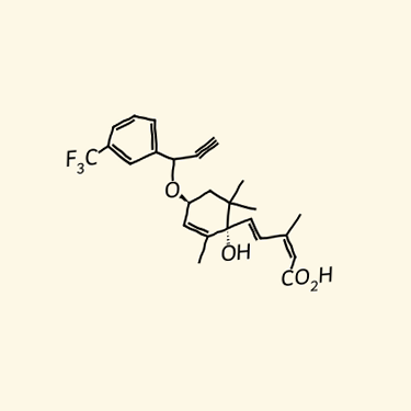 C#CC(O[C@@H]1C=C(C)[C@](O)(/C=C/C(C)=C\C(=O)O)C(C)(C)C1)c1cccc(C(F)(F)F)c1